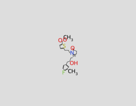 COC(=O)c1ccc(CCCN2C(=O)CC[C@@H]2CCC(O)Cc2ccc(F)c(C)c2)s1